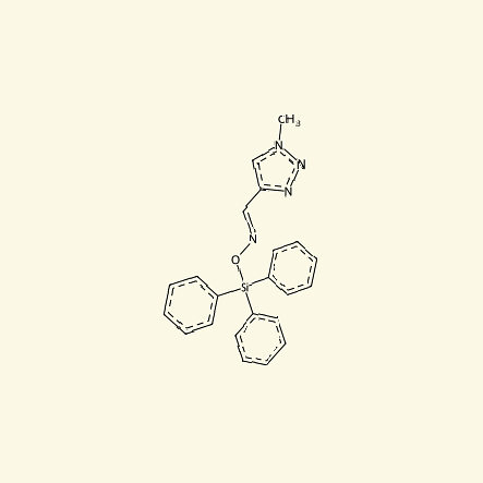 Cn1cc(C=NO[Si](c2ccccc2)(c2ccccc2)c2ccccc2)nn1